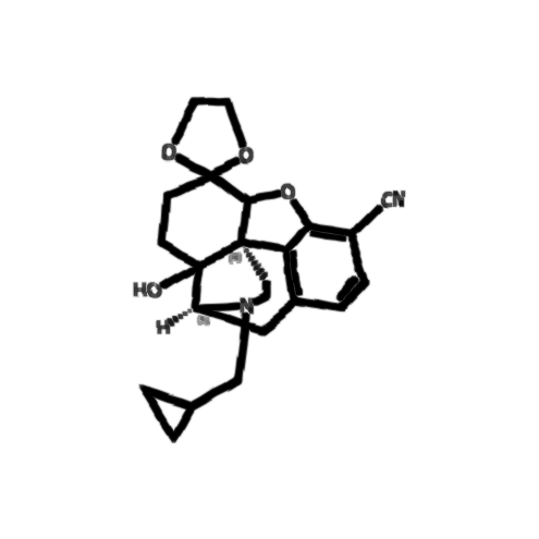 N#Cc1ccc2c3c1OC1C4(CCC5(O)[C@H](C2)N(CC2CC2)CC[C@@]315)OCCO4